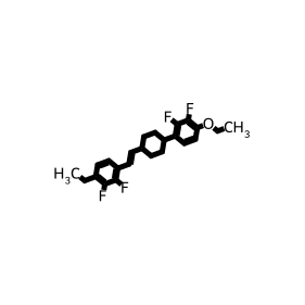 CCOc1ccc(C2CCC(/C=C/c3ccc(CC)c(F)c3F)CC2)c(F)c1F